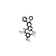 Cc1nc(N[C@H](C)c2cc([N+](=O)[O-])cc(C(F)(F)F)c2)c2cc(-c3ccncc3)c(N3CCCC3)nc2n1